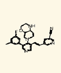 Cc1cc(F)cc(-c2cncc(C=Cc3cncc(C#N)c3)c2N2CCC3NCCOC3C2)c1